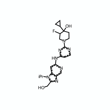 CC(C)n1c(CO)nc2cnc(Nc3ccnc(N4CCC(O)(C5CC5)C(F)C4)n3)cc21